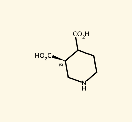 O=C(O)C1CCNC[C@H]1C(=O)O